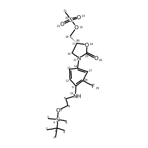 CC(C)(C)[Si](C)(C)OCCNc1ccc(N2C[C@H](COS(C)(=O)=O)OC2=O)cc1F